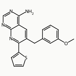 COc1cccc(Cc2cc3c(N)ncnc3nc2-c2cccs2)c1